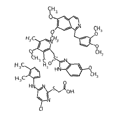 COc1ccc(Cc2nccc3cc(OC)c(OC)cc23)cc1OC.COc1ccc2[nH]c([S+]([O-])Cc3ncc(C)c(OC)c3C)nc2c1.Cc1cccc(Nc2cc(Cl)nc(SCC(=O)O)n2)c1C